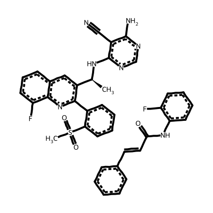 C[C@H](Nc1ncnc(N)c1C#N)c1cc2cccc(F)c2nc1-c1ccccc1S(C)(=O)=O.O=C(/C=C/c1ccccc1)Nc1ccccc1F